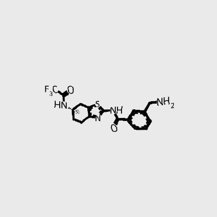 NCc1cccc(C(=O)Nc2nc3c(s2)C[C@@H](NC(=O)C(F)(F)F)CC3)c1